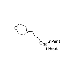 CCCCCCC[C@@H](CCCCC)OCCCN1CCOCC1